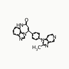 Cc1nc2cnccc2n1-c1ccc(C2=CC(=O)Nc3cccc4ncn2c34)cc1